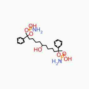 CC(CCCCC(O)CCCCC(C)(OP(N)(=O)O)c1ccccc1)(OP(N)(=O)O)c1ccccc1